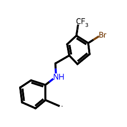 [CH2]c1ccccc1NCc1ccc(Br)c(C(F)(F)F)c1